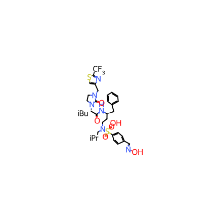 CC[C@H](C)[C@@H](C(=O)N[C@@H](Cc1ccccc1)[C@H](O)CN(CC(C)C)S(=O)(=O)c1ccc(C=NO)cc1)N1CCN(Cc2csc(C(F)(F)F)n2)C1=O